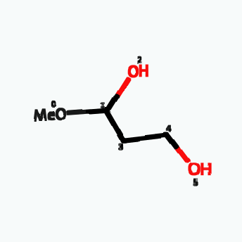 [CH2]OC(O)CCO